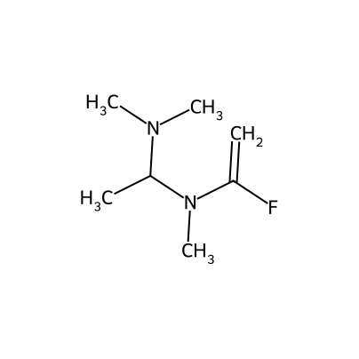 C=C(F)N(C)C(C)N(C)C